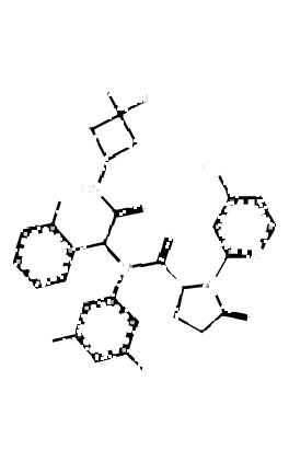 N#Cc1ccnc(N2C(=O)CC[C@H]2C(=O)N(c2cc(F)cc(F)c2)C(C(=O)NC2CC(F)(F)C2)c2ccccc2Cl)c1